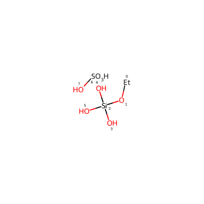 CCO[Si](O)(O)O.O=S(=O)(O)O